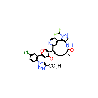 C[C@@H]1CC/C=C(/c2coc(-c3cc(Cl)ccc3-n3cc(C(=O)O)nn3)cc2=O)c2cc(ccn2)-c2c(cnn2C(F)F)NC1=O